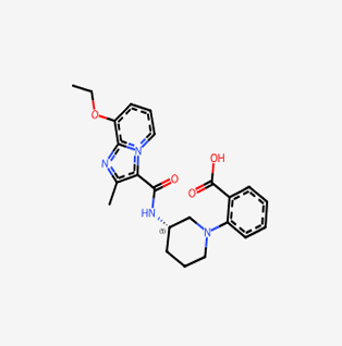 CCOc1cccn2c(C(=O)N[C@H]3CCCN(c4ccccc4C(=O)O)C3)c(C)nc12